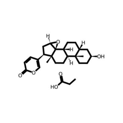 CCC(=O)O.C[C@]12CC[C@H](O)C[C@H]1CC[C@@H]1[C@@H]2CC[C@]2(C)[C@@H](c3ccc(=O)oc3)C[C@H]3O[C@]132